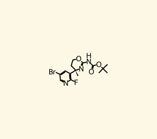 CC(C)(C)OC(=O)NC1=N[C@](C)(c2cc(Br)cnc2F)CCO1